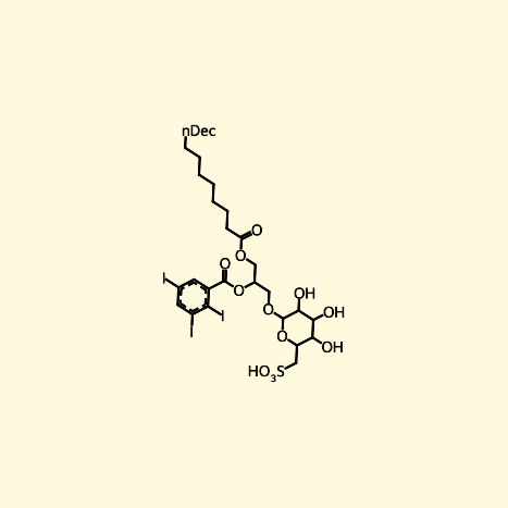 CCCCCCCCCCCCCCCCCC(=O)OCC(COC1OC(CS(=O)(=O)O)C(O)C(O)C1O)OC(=O)c1cc(I)cc(I)c1I